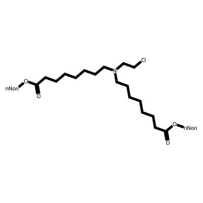 CCCCCCCCCOC(=O)CCCCCCCN(CCCl)CCCCCCCC(=O)OCCCCCCCCC